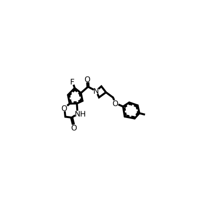 Cc1ccc(OCC2CN(C(=O)c3cc4c(cc3F)OCC(=O)N4)C2)cc1